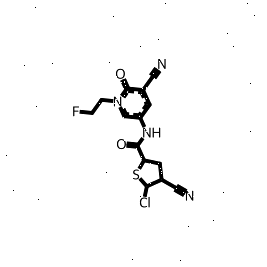 N#Cc1cc(NC(=O)C2CC(C#N)C(Cl)S2)cn(CCF)c1=O